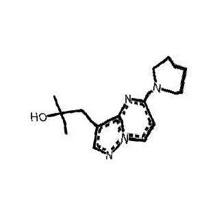 CC(C)(O)Cc1cnn2ccc(N3CCCC3)nc12